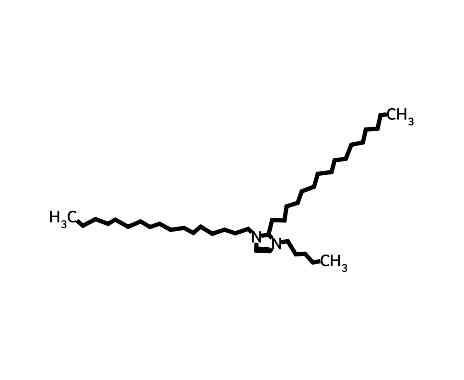 CCCCCCCCCCCCCCCCCN1C=CN(CCCCC)C1CCCCCCCCCCCCCCCC